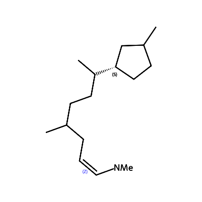 CN/C=C\CC(C)CCC(C)[C@H]1CCC(C)C1